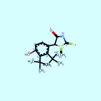 C=S1C(=S)NC(=O)C1c1ccc(O)c(C(C)(C)C)c1C(C)(C)C